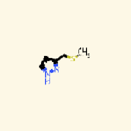 CSCc1cc[nH]n1